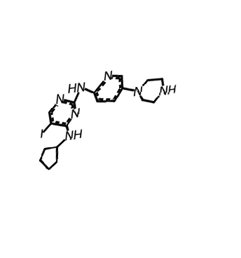 Ic1cnc(Nc2ccc(N3CCNCC3)cn2)nc1NC1CCCC1